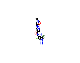 CC(=O)N(Cc1cnn(Cc2cc(C(=O)NCc3cc4c(Cl)c[nH]c4cc3F)ccn2)c1)C1CC1